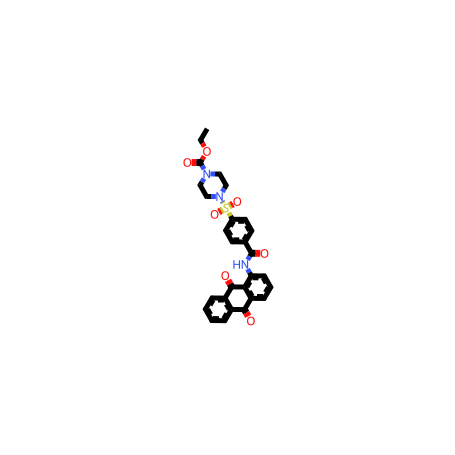 CCOC(=O)N1CCN(S(=O)(=O)c2ccc(C(=O)Nc3cccc4c3C(=O)c3ccccc3C4=O)cc2)CC1